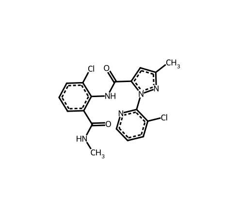 CNC(=O)c1cccc(Cl)c1NC(=O)c1cc(C)nn1-c1ncccc1Cl